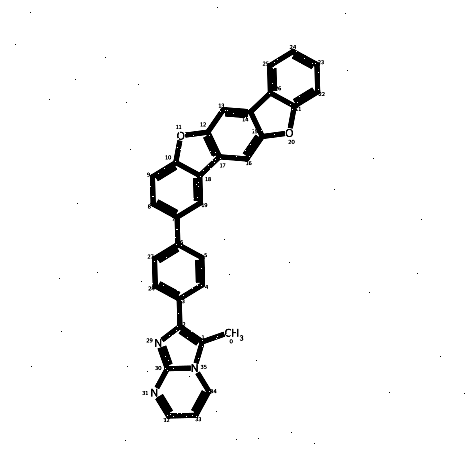 Cc1c(-c2ccc(-c3ccc4oc5cc6c(cc5c4c3)oc3ccccc36)cc2)nc2ncccn12